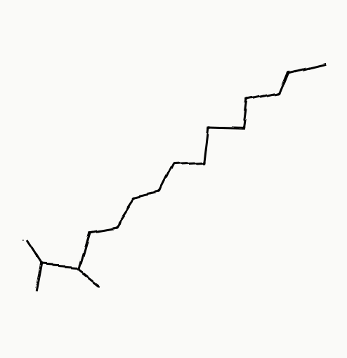 [CH2]C(C)C(C)CCCCCCCCCCCC